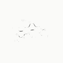 CCCCNc1nc(N)nc(C)c1Cc1ccc(CN(CC)CC(=O)OCC)cc1OC